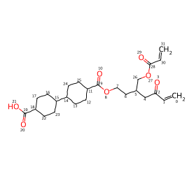 C=CC(=O)CC(CCOC(=O)C1CCC(C2CCC(C(=O)O)CC2)CC1)COC(=O)C=C